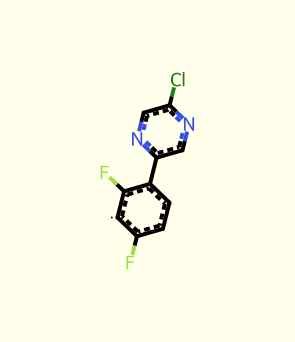 Fc1[c]c(F)c(-c2cnc(Cl)cn2)cc1